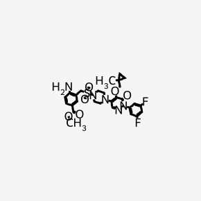 COC(=O)c1ccc(N)c(CS(=O)(=O)N2CCN(c3cnn(-c4cc(F)cc(F)c4)c(=O)c3OCC3(C)CC3)CC2)c1